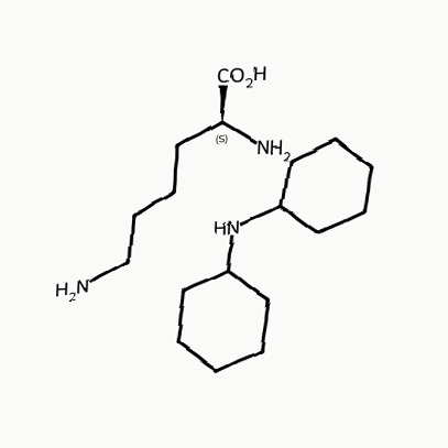 C1CCC(NC2CCCCC2)CC1.NCCCC[C@H](N)C(=O)O